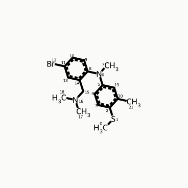 CSc1ccc(N(C)c2ccc(Br)cc2CN(C)C)cc1C